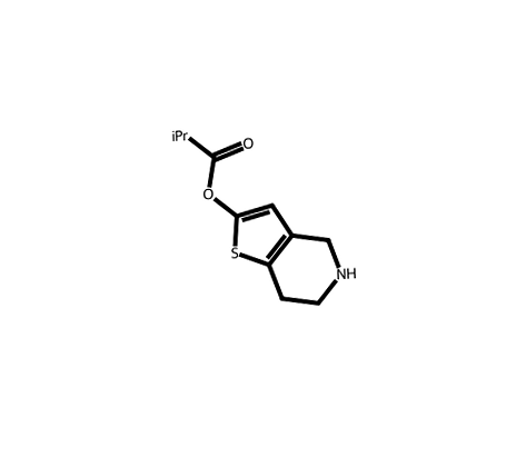 CC(C)C(=O)Oc1cc2c(s1)CCNC2